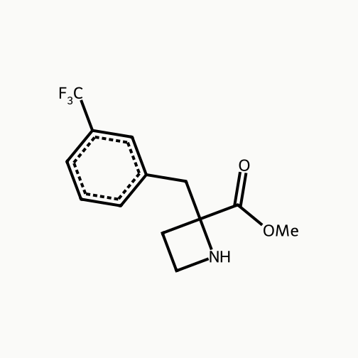 COC(=O)C1(Cc2cccc(C(F)(F)F)c2)CCN1